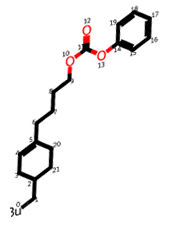 CCC(C)CC1CC=C(CCCCOC(=O)Oc2ccccc2)CC1